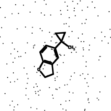 CC1(c2ccc3c(c2)CCO3)CC1